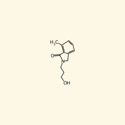 Cc1cccc2c1C(=O)N(CCCO)C2